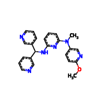 COc1ccc(N(C)c2cccc(NC(c3cccnc3)c3cccnc3)n2)cn1